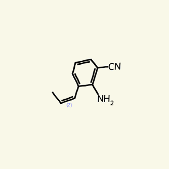 C/C=C\c1cccc(C#N)c1N